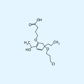 CCCC1(OCCCCl)C=CC(C(C)O)=C(OCCCC(=O)O)C1